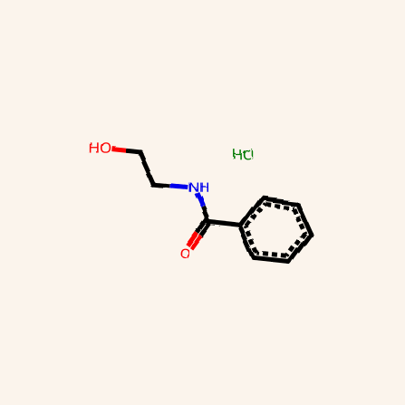 Cl.O=C(NCCO)c1ccccc1